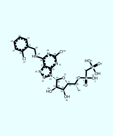 C[C@@H](OP(=O)(O)CP(=O)(O)O)[C@H]1O[C@@H](n2nnc3c(NCc4ccccc4Cl)nc(Cl)nc32)[C@H](O)[C@@H]1O